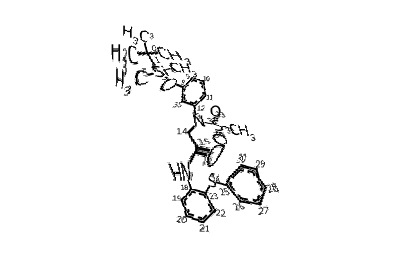 CC(C)(C)[Si](C)(C)Oc1cccc(N(CC(=O)Nc2ccccc2Sc2ccccc2)S(C)(=O)=O)c1